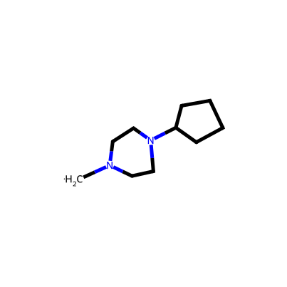 [CH2]N1CCN(C2CCCC2)CC1